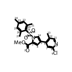 COC(=O)c1cc(-c2cc(Cl)ncc2C)cn1S(=O)(=O)c1c(C)cc(C)cc1C